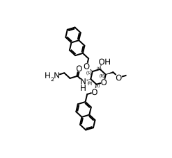 COC[C@H]1O[C@H](OCc2ccc3ccccc3c2)[C@H](NC(=O)CCN)[C@H](OCc2ccc3ccccc3c2)[C@@H]1O